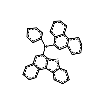 c1ccc(N(c2cc3ccccc3c3ccccc23)c2cc3ccccc3c3c2sc2ccccc23)cc1